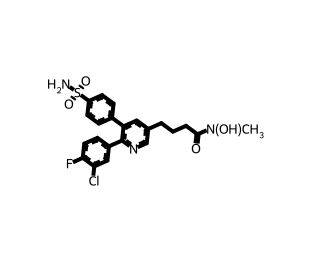 CN(O)C(=O)CCCc1cnc(-c2ccc(F)c(Cl)c2)c(-c2ccc(S(N)(=O)=O)cc2)c1